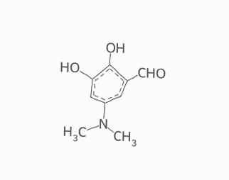 CN(C)c1cc(O)c(O)c(C=O)c1